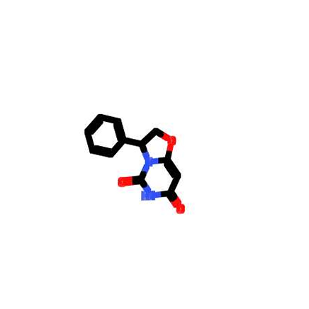 O=c1cc2n(c(=O)[nH]1)C(c1ccccc1)CO2